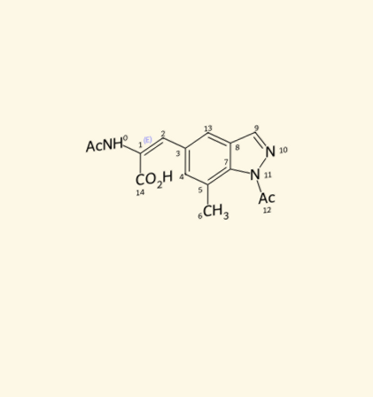 CC(=O)N/C(=C/c1cc(C)c2c(cnn2C(C)=O)c1)C(=O)O